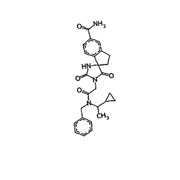 CC(C1CC1)N(Cc1ccccc1)C(=O)CN1C(=O)NC2(CCc3cc(C(N)=O)ccc32)C1=O